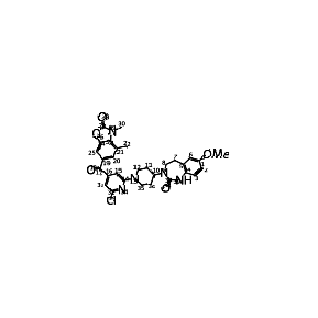 COc1ccc2c(c1)CCN(C1CCN(c3cc(C(=O)c4cc(C)c5c(c4)oc(=O)n5C)cc(Cl)n3)CC1)C(=O)N2